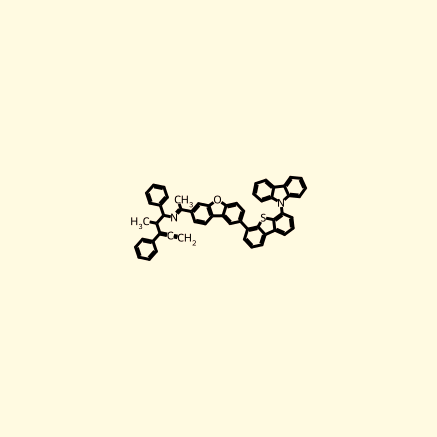 C=C=C(c1ccccc1)C(C)C(/N=C(\C)c1ccc2c(c1)oc1ccc(-c3cccc4c3sc3c(-n5c6ccccc6c6ccccc65)cccc34)cc12)c1ccccc1